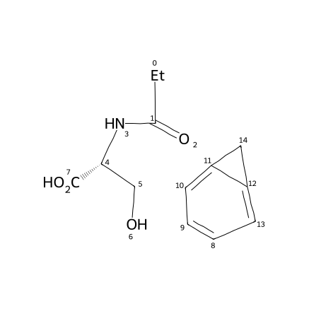 CCC(=O)N[C@H](CO)C(=O)O.c1ccc2c(c1)C2